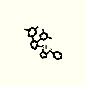 Cc1cc(C)cc(-c2cccc([SiH2]C3=C(Cc4ccccc4)C=CC3)c2-c2cc(C)cc(C)c2)c1